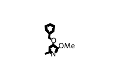 COc1cnc(C)cc1OCc1ccccc1